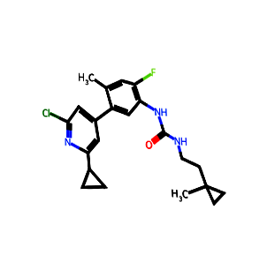 Cc1cc(F)c(NC(=O)NCCC2(C)CC2)cc1-c1cc(Cl)nc(C2CC2)c1